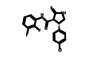 O=C(Nc1cccc(F)c1F)[C@H]1C(=S)NC[C@@H]1c1ccc(Cl)cc1